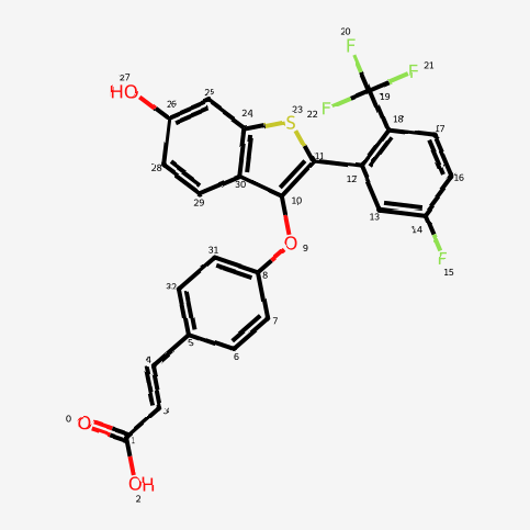 O=C(O)C=Cc1ccc(Oc2c(-c3cc(F)ccc3C(F)(F)F)sc3cc(O)ccc23)cc1